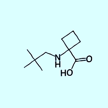 CC(C)(C)CNC1(C(=O)O)CCC1